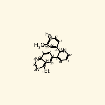 CCc1ncnc2ccc(-c3cccnc3-c3ccc(F)c(C)c3)cc12